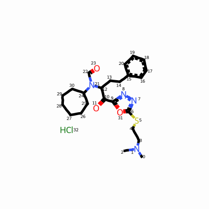 CN(C)CCSc1nnc(C(=O)C(CCc2ccccc2)N(C=O)C2CCCCCC2)o1.Cl